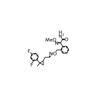 CON=C(C(N)=O)c1ccccc1CON=CCC1CC1(C)c1ccc(F)cc1F